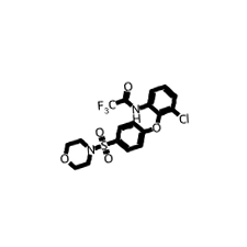 O=C(Nc1cccc(Cl)c1Oc1ccc(S(=O)(=O)N2CCOCC2)cc1)C(F)(F)F